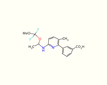 COC(F)(F)OC(C)Nc1ccc(C)c(-c2cccc(C(=O)O)c2)n1